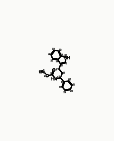 CC(C)(C)OC(=O)N[C@@H](CCc1c[nH]c2ccccc12)c1ccccc1